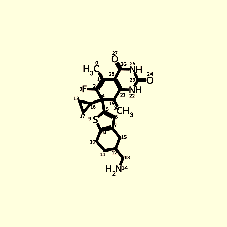 CC1=C(F)C(c2cc3c(s2)CCC(CN)C3)(C2CC2)C(C)c2[nH]c(=O)[nH]c(=O)c21